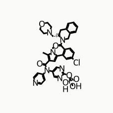 Cc1c(C(=O)N(c2ccncc2)c2cnc(OP(=O)(O)O)nc2)cc(-c2cc(Cl)ccc2C(=O)N2Cc3ccccc3C[C@H]2CN2CCOCC2)n1C